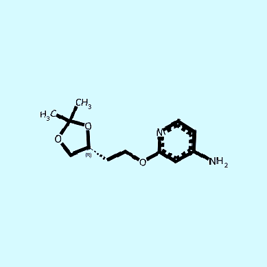 CC1(C)OC[C@@H](CCOc2cc(N)ccn2)O1